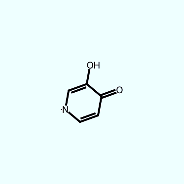 O=C1C=C[N]C=C1O